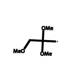 [CH2]C(COC)(OC)OC